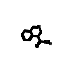 NC(=O)C1CN=Cc2ccccc21